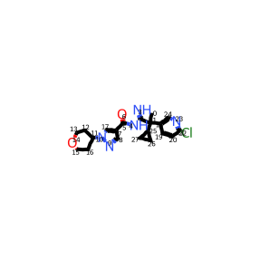 CC(C(=N)NC(=O)c1cnn(C2CCOCC2)c1)(c1ccc(Cl)nc1)C1CC1